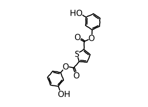 O=C(Oc1cccc(O)c1)c1ccc(C(=O)Oc2cccc(O)c2)s1